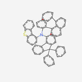 c1ccc(-c2cccc3cccc(-c4ccccc4N(c4cccc5c4-c4ccccc4C5(c4ccccc4)c4ccccc4)c4cccc5sc6ccccc6c45)c23)cc1